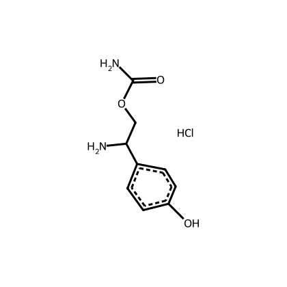 Cl.NC(=O)OCC(N)c1ccc(O)cc1